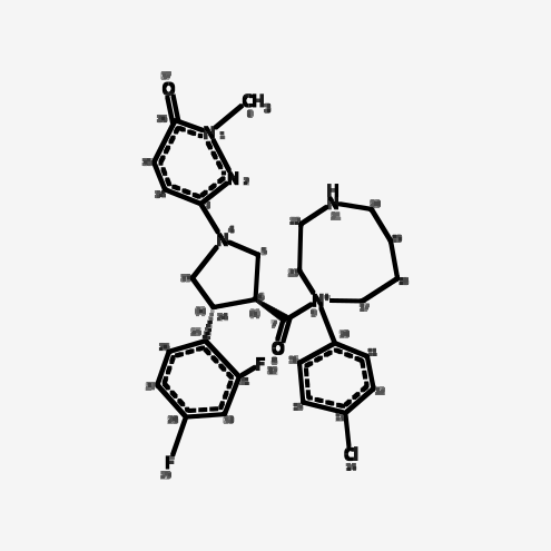 Cn1nc(N2C[C@@H](C(=O)[N+]3(c4ccc(Cl)cc4)CCCCNCC3)[C@H](c3ccc(F)cc3F)C2)ccc1=O